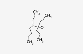 CCCCC(CCC)C([O])(CCC)CCC